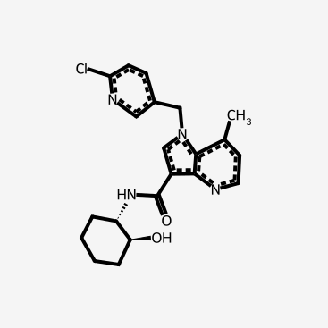 Cc1ccnc2c(C(=O)N[C@H]3CCCC[C@@H]3O)cn(Cc3ccc(Cl)nc3)c12